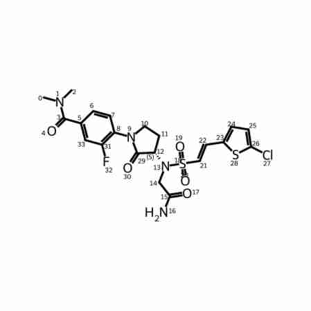 CN(C)C(=O)c1ccc(N2CC[C@H](N(CC(N)=O)S(=O)(=O)C=Cc3ccc(Cl)s3)C2=O)c(F)c1